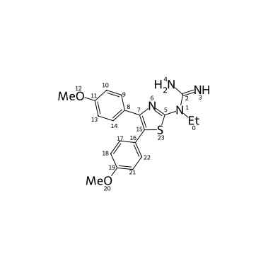 CCN(C(=N)N)c1nc(-c2ccc(OC)cc2)c(-c2ccc(OC)cc2)s1